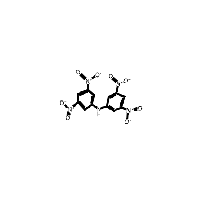 O=[N+]([O-])c1cc(Nc2cc([N+](=O)[O-])cc([N+](=O)[O-])c2)cc([N+](=O)[O-])c1